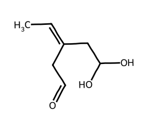 CC=C(CC=O)CC(O)O